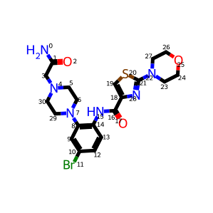 NC(=O)CN1CCN(c2cc(Br)ccc2NC(=O)c2csc(N3CCOCC3)n2)CC1